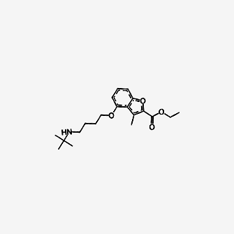 CCOC(=O)c1oc2cccc(OCCCCNC(C)(C)C)c2c1C